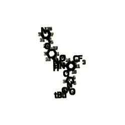 CC(C)(C)OC(=O)N1CCC(Oc2ccc(C(F)(F)F)cc2NC(=O)N[C@H]2CC[C@H](OCc3ccncc3)CC2)C1